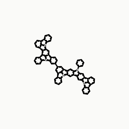 c1ccc(-n2c3cc4c5cccc6c7ccccc7n(c4cc3c3cc4c(cc32)c2cc(-c3ccc7c8cc9c(c%10cccc%11c%12ccccc%12n9c%11%10)c9c%10ccccc%10n(c7c3)c89)cc3c7ccccc7n4c32)c65)cc1